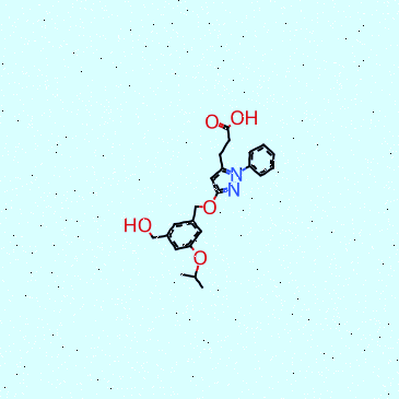 CC(C)Oc1cc(CO)cc(COc2cc(CCC(=O)O)n(-c3ccccc3)n2)c1